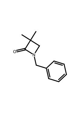 CC1(C)CN(Cc2ccccc2)C1=O